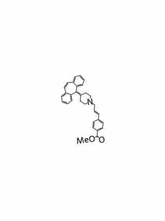 COC(=O)c1ccc(C=CCN2CCC(=C3c4ccccc4C=Cc4ccccc43)CC2)cc1